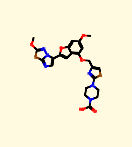 COc1cc(OCc2csc(N3CCN(C(=O)O)CC3)n2)c2cc(-c3cnc4sc(OC)nn34)oc2c1